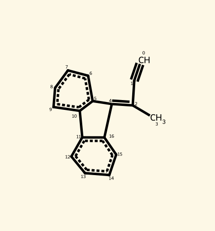 C#CC(C)=C1c2ccccc2-c2ccccc21